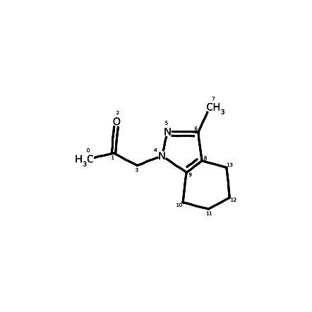 CC(=O)Cn1nc(C)c2c1CCCC2